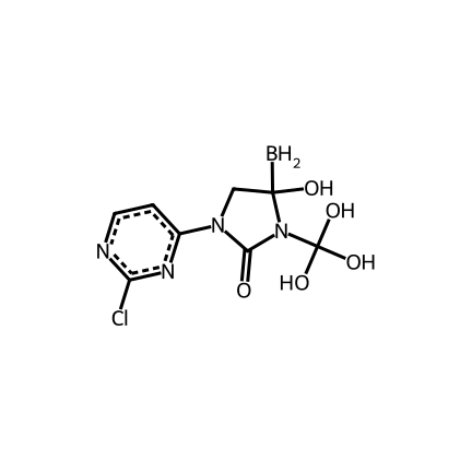 BC1(O)CN(c2ccnc(Cl)n2)C(=O)N1C(O)(O)O